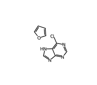 Clc1ncnc2nc[nH]c12.c1ccoc1